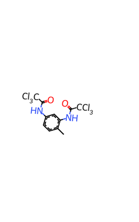 Cc1ccc(NC(=O)C(Cl)(Cl)Cl)cc1NC(=O)C(Cl)(Cl)Cl